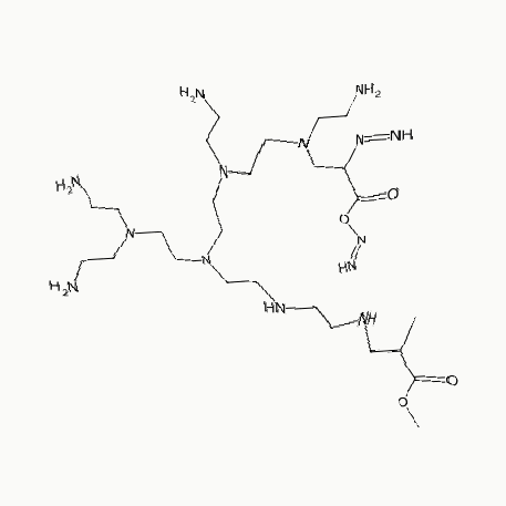 COC(=O)C(C)CNCCNCCN(CCN(CCN)CCN)CCN(CCN)CCN(CCN)CC(N=N)C(=O)ON=N